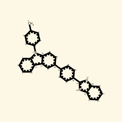 Cc1ccc(-n2c3ccccc3c3cc(-c4ccc(-c5nc6ccccc6o5)cc4)ccc32)cc1